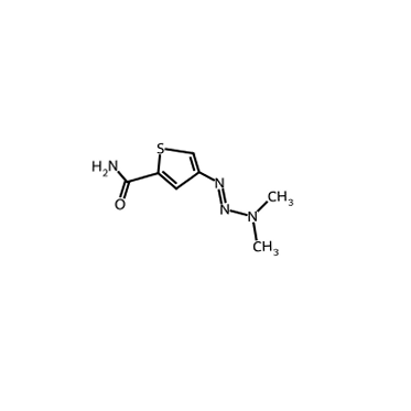 CN(C)/N=N/c1csc(C(N)=O)c1